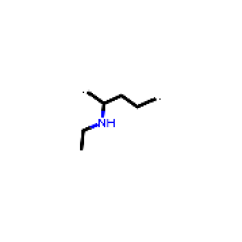 [CH2]CCC([CH2])NCC